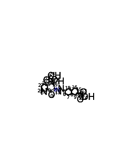 O=C1/C(=N/Nc2ccc3cc(S(=O)(=O)O)ccc3c2)C=C(S(=O)(=O)O)c2cccnc21